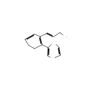 BrC/C=C/C1=C(C2=COC=CO2)CCC=C1